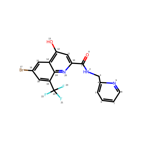 O=C(NCc1ccccn1)c1cc(O)c2cc(Br)cc(C(F)(F)F)c2n1